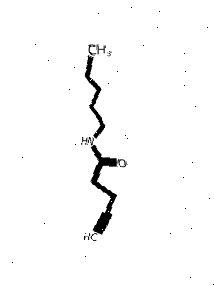 C#CCCC(=O)NCCCCC